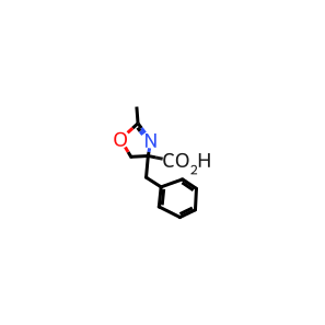 CC1=NC(Cc2ccccc2)(C(=O)O)CO1